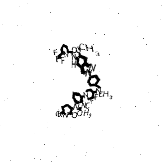 COc1cc2nn(C3CCC(CN(C)C4CCN(c5cccc6c5n(C)c(=O)n6C5CCC(=O)NC5=O)CC4(F)F)CC3)cc2cc1NC(=O)c1cccc(C(F)(F)F)n1